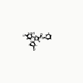 C[C@@H]1C(C(=O)NN2CCCCC2)=NN(c2ccc(Cl)cc2Cl)[C@@H]1c1cc(Br)cs1